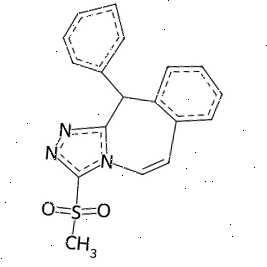 CS(=O)(=O)c1nnc2n1C=Cc1ccccc1C2c1ccccc1